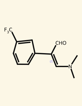 CN(C)/C=C(\C=O)c1cccc(C(F)(F)F)c1